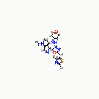 CCn1ccc(NC2CCOCC2)c2c(-c3nnc(Cc4sc(C)nc4C)o3)ncc1-2